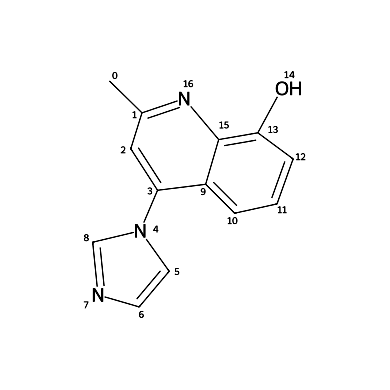 Cc1cc(-n2ccnc2)c2cccc(O)c2n1